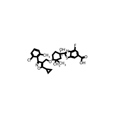 Cc1cccc(Cl)c1-c1noc(C2CC2)c1CO[C@@H]1CC[C@@](O)(c2nc3c(F)cc(C(=O)O)cc3s2)CC1(C)C